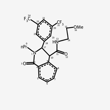 CCCN1C(=O)c2ccccc2C(C(=O)NCCOC)C1c1cc(C(F)(F)F)cc(C(F)(F)F)c1